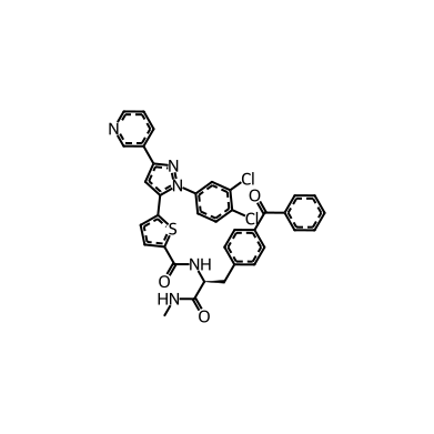 CNC(=O)[C@H](Cc1ccc(C(=O)c2ccccc2)cc1)NC(=O)c1ccc(-c2cc(-c3cccnc3)nn2-c2ccc(Cl)c(Cl)c2)s1